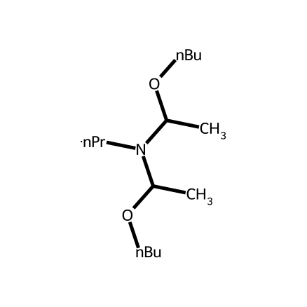 CC[CH]N(C(C)OCCCC)C(C)OCCCC